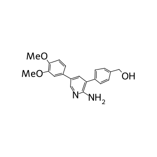 COc1ccc(-c2cnc(N)c(-c3ccc(CO)cc3)c2)cc1OC